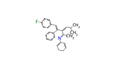 CC(=N\C1=CCCC=C1)/C(=C\C(C)C)C(=C/c1ccc(F)cc1)/c1ccccc1